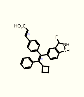 O=C(O)/C=C/c1ccc(/C(=C(\c2ccccc2)C2CCC2)c2ccc3c(c2)C(F)NN3)cc1